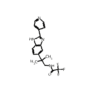 CC(C)(CNC(=O)C(F)(F)F)c1ccc2[nH]c(-c3ccncc3)nc2c1